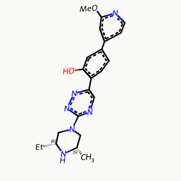 CC[C@@H]1CN(c2ncc(-c3ccc(-c4ccnc(OC)c4)cc3O)nn2)C[C@H](C)N1